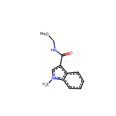 COCNC(=O)c1cn(C)c2ccccc12